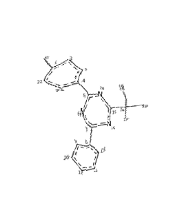 Cc1ccc(-c2nc(-c3ccccc3)nc(C(C)(C)C)n2)cc1